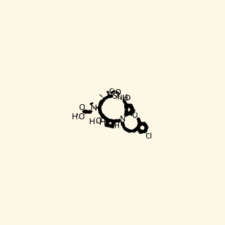 C[C@@H]1[C@@H](C)C[C@H](N(C)CC(=O)O)C[C@@H](O)[C@@H]2CC[C@H]2CN2CCCCc3cc(Cl)ccc3COc3ccc(cc32)C(=O)NS1(=O)=O